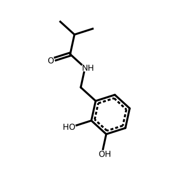 CC(C)C(=O)NCc1cccc(O)c1O